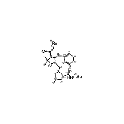 CC1CC(CC2OC(C)(C)N(C(=O)OC(C)(C)C)C2Cc2ccccc2)C(C(=O)NC(C)(C)C)C1